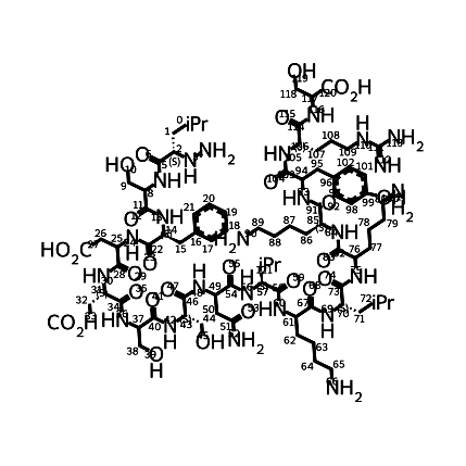 CC(C)C[C@H](NN)C(=O)NC(CO)C(=O)N[C@@H](Cc1ccccc1)C(=O)NC(CC(=O)O)C(=O)N[C@@H](CC(=O)O)C(=O)NC(CO)C(=O)N[C@@H](CO)C(=O)NC(CC(N)=O)C(=O)N[C@H](C(=O)NC(CCCCN)C(=O)N[C@@H](CC(C)C)C(=O)NC(CCCCN)C(=O)N[C@@H](CCCCN)C(=O)NC(Cc1ccc(O)cc1)C(=O)N[C@@H](CCCNC(=N)N)C(=O)NC(CO)C(=O)O)C(C)C